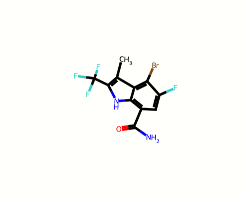 Cc1c(C(F)(F)F)[nH]c2c(C(N)=O)cc(F)c(Br)c12